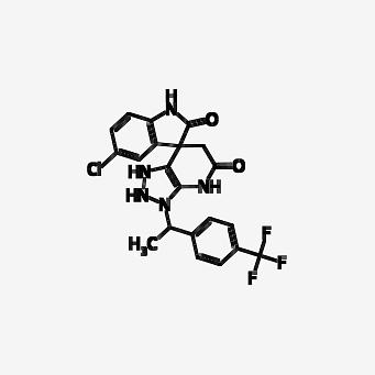 CC(c1ccc(C(F)(F)F)cc1)N1NNC2=C1NC(=O)CC21C(=O)Nc2ccc(Cl)cc21